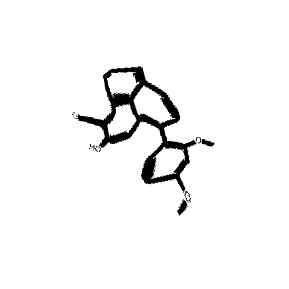 COc1ccc(-c2ccc3cccc4c3c2C=C(O)C4=O)c(OC)c1